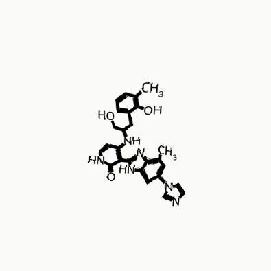 Cc1cccc(CC(CO)Nc2cc[nH]c(=O)c2-c2nc3c(C)cc(-n4ccnc4)cc3[nH]2)c1O